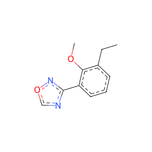 CCc1cccc(-c2ncon2)c1OC